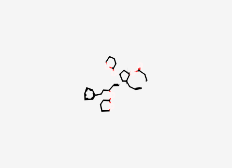 O=C1CCC/C=C\C[C@@H]2[C@@H](/C=C/C(CCc3ccccc3)OC3CCCCO3)[C@H](OC3CCCCO3)C[C@@H]2O1